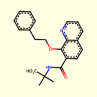 CC(C)(NC(=O)c1ccc2cccnc2c1OCCc1ccccc1)C(=O)O